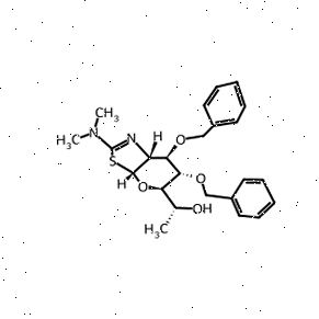 C[C@@H](O)[C@H]1O[C@@H]2SC(N(C)C)=N[C@@H]2[C@@H](OCc2ccccc2)[C@@H]1OCc1ccccc1